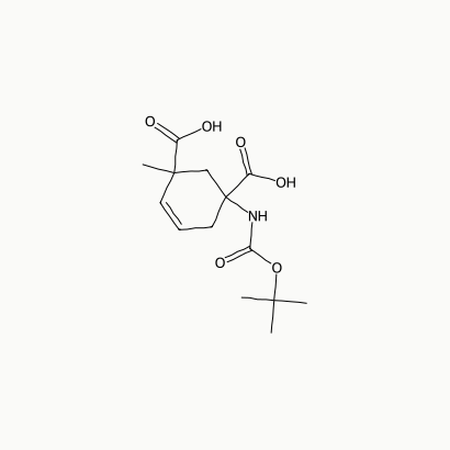 CC(C)(C)OC(=O)NC1(C(=O)O)CC=CC(C)(C(=O)O)C1